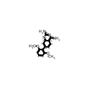 COc1cccc(OC)c1-c1ccc2c(N)nc(N)nc2c1